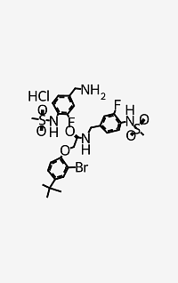 CC(C)(C)c1ccc(OCC(=O)NCc2ccc(NS(C)(=O)=O)c(F)c2)c(Br)c1.CS(=O)(=O)Nc1ccc(CN)cc1F.Cl